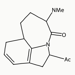 CNC1CCC2CC=CC3=C2N(C1=O)C(C(C)=O)C3